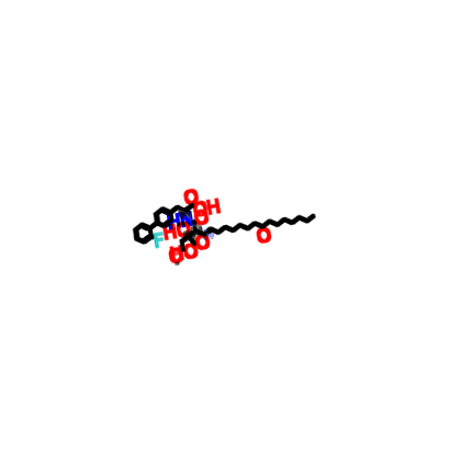 CCCCCCCC(=O)CCCCCC/C=C/[C@H](C(=O)N[C@@H](Cc1ccc(-c2ccccc2F)cc1)C(=O)O)[C@@](O)(CCOC)C(=O)O